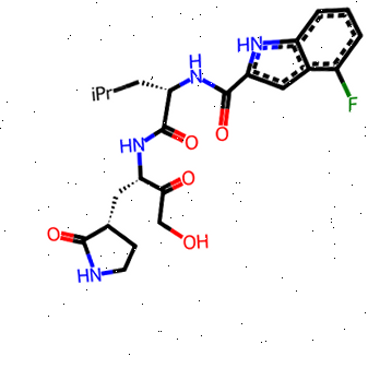 CC(C)C[C@H](NC(=O)c1cc2c(F)cccc2[nH]1)C(=O)N[C@@H](C[C@@H]1CCNC1=O)C(=O)CO